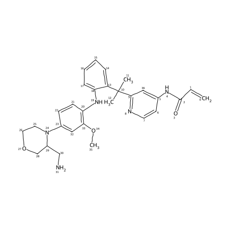 C=CC(=O)Nc1ccnc(C(C)(C)c2ccccc2Nc2ccc(N3CCOCC3CN)cc2OC)c1